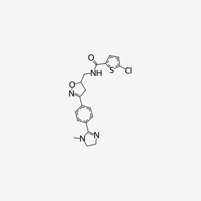 CN1CCN=C1c1ccc(C2=NOC(CNC(=O)c3ccc(Cl)s3)C2)cc1